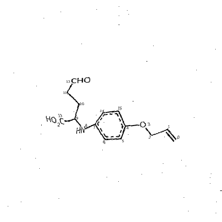 C=CCOc1ccc(NC(CCC=O)C(=O)O)cc1